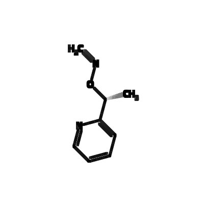 C=NO[C@H](C)c1ccccn1